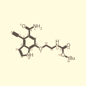 C#Cc1c(C(N)=O)cc(OCCNC(=O)OC(C)(C)C)c2[nH]ccc12